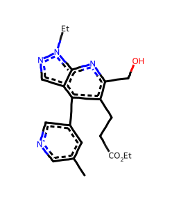 CCOC(=O)CCc1c(CO)nc2c(cnn2CC)c1-c1cncc(C)c1